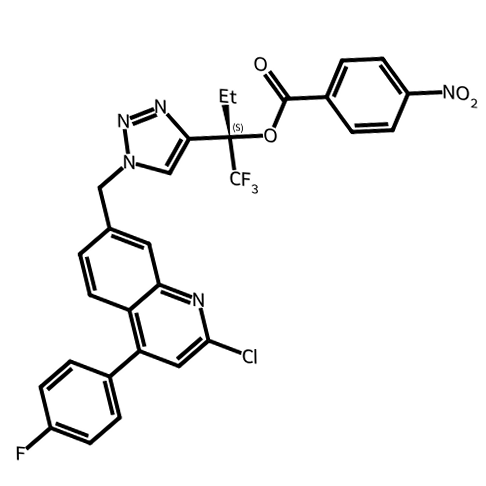 CC[C@](OC(=O)c1ccc([N+](=O)[O-])cc1)(c1cn(Cc2ccc3c(-c4ccc(F)cc4)cc(Cl)nc3c2)nn1)C(F)(F)F